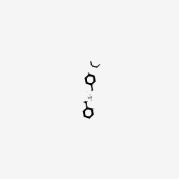 CCC(C)Oc1ccc(CNNC(=O)c2ccccc2Cl)cc1